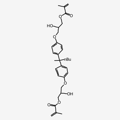 C=C(C)C(=O)OCC(O)COc1ccc(C(C)(CCCC)c2ccc(OCC(O)COC(=O)C(=C)C)cc2)cc1